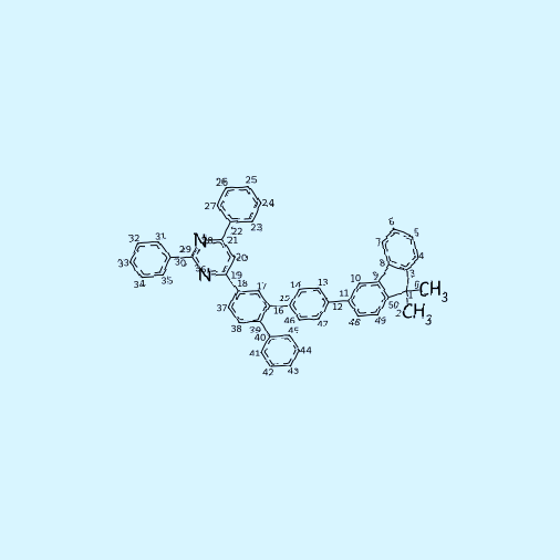 CC1(C)c2ccccc2-c2cc(-c3ccc(-c4cc(-c5cc(-c6ccccc6)nc(-c6ccccc6)n5)ccc4-c4ccccc4)cc3)ccc21